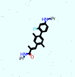 C/C(=C\c1cc(C)c(-c2ccc(NC(C)C)cc2F)cc1C)C(=O)NC(C)C